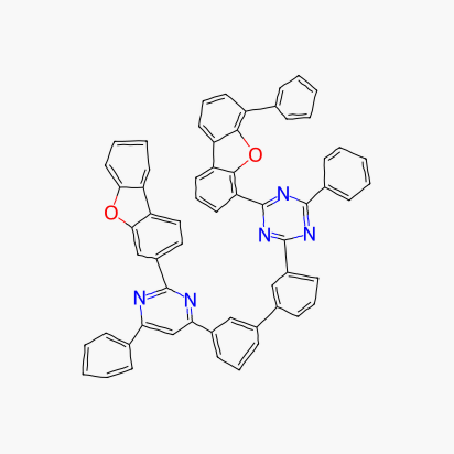 c1ccc(-c2cc(-c3cccc(-c4cccc(-c5nc(-c6ccccc6)nc(-c6cccc7c6oc6c(-c8ccccc8)cccc67)n5)c4)c3)nc(-c3ccc4c(c3)oc3ccccc34)n2)cc1